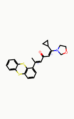 C/C(=C\C(=O)/C=C(\C1CC1)N1CCOC1)c1cccc2c1Sc1ccccc1S2